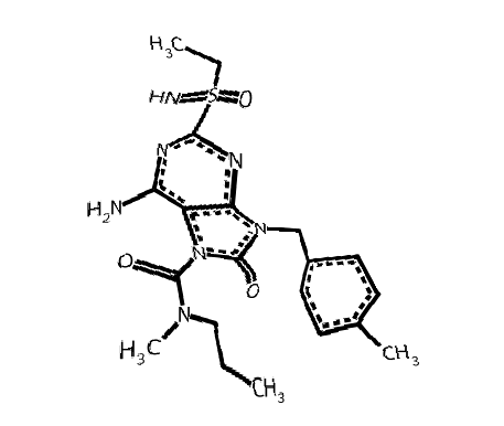 CCCN(C)C(=O)n1c(=O)n(Cc2ccc(C)cc2)c2nc(S(=N)(=O)CC)nc(N)c21